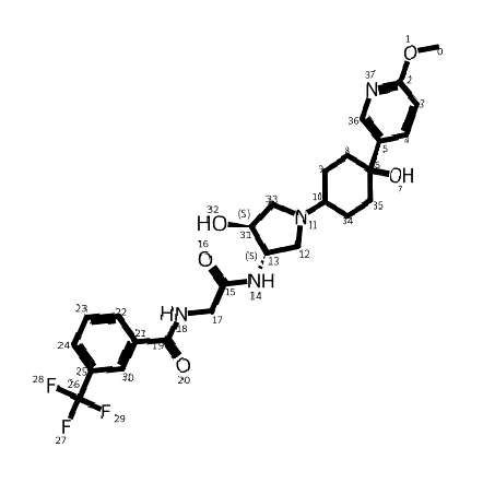 COc1ccc(C2(O)CCC(N3C[C@H](NC(=O)CNC(=O)c4cccc(C(F)(F)F)c4)[C@@H](O)C3)CC2)cn1